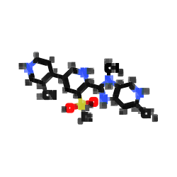 CCS(=O)(=O)c1cc(-c2ccncc2C#N)cnc1-c1nc2cc(C(F)(F)F)ncc2n1C